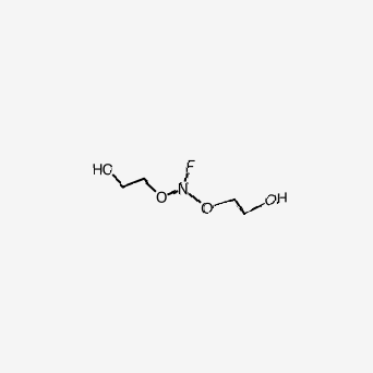 OCCON(F)OCCO